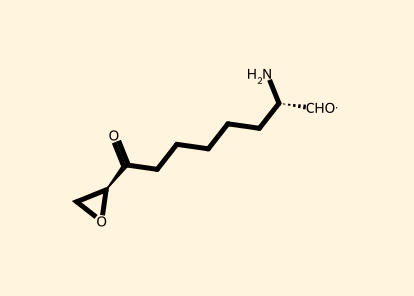 N[C@H]([C]=O)CCCCCC(=O)[C@@H]1CO1